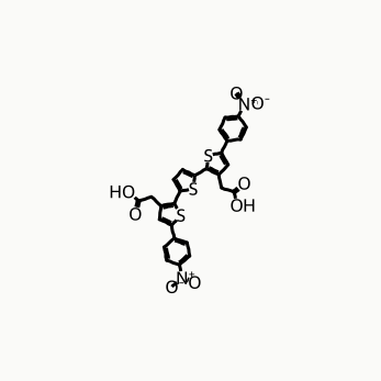 O=C(O)Cc1cc(-c2ccc([N+](=O)[O-])cc2)sc1-c1ccc(-c2sc(-c3ccc([N+](=O)[O-])cc3)cc2CC(=O)O)s1